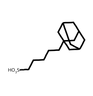 O=S(=O)(O)CCCCCC12CC3CC(CC(C3)C1)C2